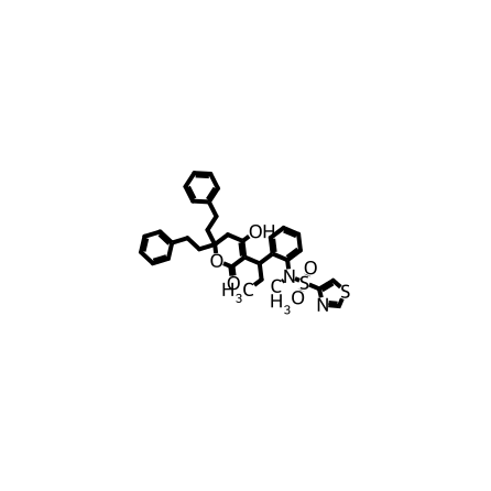 CCC(C1=C(O)CC(CCc2ccccc2)(CCc2ccccc2)OC1=O)c1ccccc1N(C)S(=O)(=O)c1cscn1